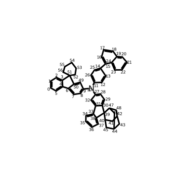 c1ccc2c(c1)-c1ccc(N(c3ccc(-c4cccc5ccccc45)cc3)c3ccc4c(c3)-c3ccccc3C43C4CC5CC(C4)CC3C5)cc1C21CCCCC1